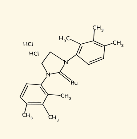 Cc1ccc(N2CCN(c3ccc(C)c(C)c3C)[C]2=[Ru])c(C)c1C.Cl.Cl